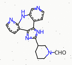 O=CN1CCCC(c2nc3c([nH]2)-c2ccncc2Nc2ncccc2-3)C1